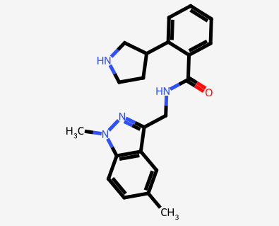 Cc1ccc2c(c1)c(CNC(=O)c1ccccc1C1CCNC1)nn2C